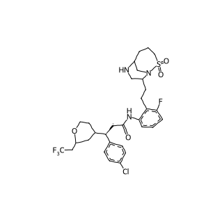 O=C([CH][C@@H](c1ccc(Cl)cc1)C1CCOC(CC(F)(F)F)C1)Nc1cccc(F)c1CCC1CNC2CCCS(=O)(=O)N1C2